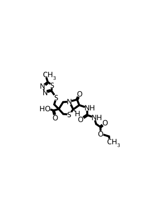 CCOC(=O)CNC(=O)NC1C(=O)N2CC(CSc3nnc(C)s3)(C(=O)O)CS[C@H]12